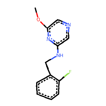 COc1cncc(NCc2ccccc2F)n1